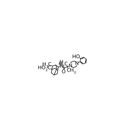 CC1C2CC3CC(CC1(C(=O)O)C3)C2NC(=O)C(C)(C)N1CCN(c2ccccc2O)CC1